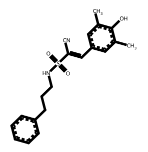 Cc1cc(/C=C(\C#N)S(=O)(=O)NCCCc2ccccc2)cc(C)c1O